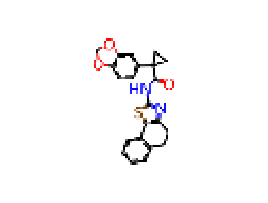 O=C(Nc1nc2c(s1)-c1ccccc1CC2)C1(c2ccc3c(c2)OCO3)CC1